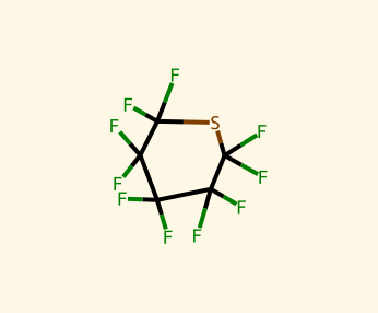 FC1(F)SC(F)(F)C(F)(F)C(F)(F)C1(F)F